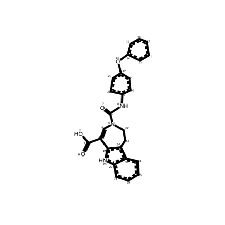 O=C(O)C1=CN(C(=O)Nc2ccc(Oc3ccccc3)cc2)CCc2c1[nH]c1ccccc21